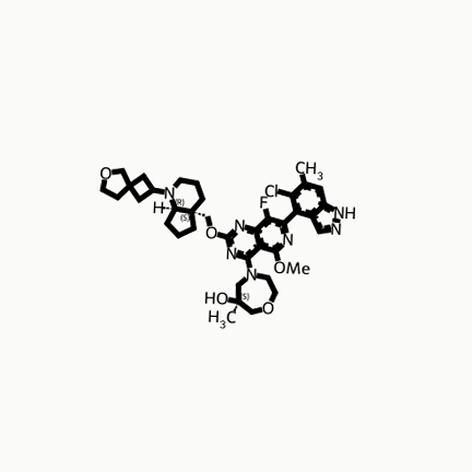 COc1nc(-c2c(Cl)c(C)cc3[nH]ncc23)c(F)c2nc(OC[C@]34CCC[C@H]3N(C3CC5(CCOC5)C3)CCC4)nc(N3CCOC[C@@](C)(O)C3)c12